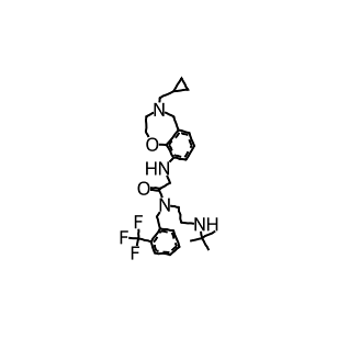 CC(C)(C)NCCN(Cc1ccccc1C(F)(F)F)C(=O)CNc1cccc2c1OCCN(CC1CC1)C2